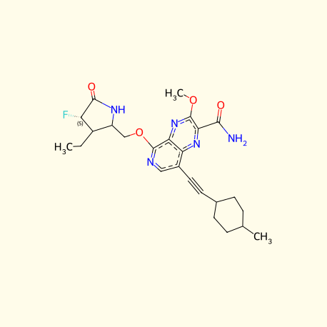 CCC1C(COc2ncc(C#CC3CCC(C)CC3)c3nc(C(N)=O)c(OC)nc23)NC(=O)[C@H]1F